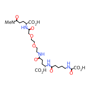 CNC(=O)CC[C@H](NC(=O)COCCOCCNC(=O)CC[C@H](NC(=O)CCCCNC(=O)C(=O)O)C(=O)O)C(=O)O